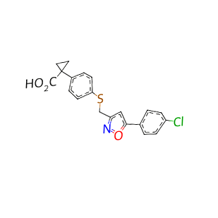 O=C(O)C1(c2ccc(SCc3cc(-c4ccc(Cl)cc4)on3)cc2)CC1